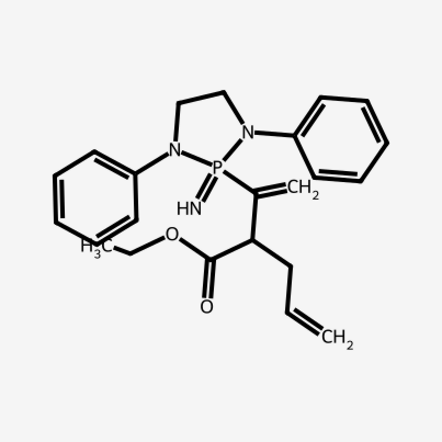 C=CCC(C(=C)P1(=N)N(c2ccccc2)CCN1c1ccccc1)C(=O)OCC